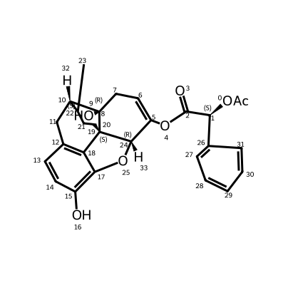 CC(=O)O[C@H](C(=O)OC1=CC[C@@]2(O)[C@H]3Cc4ccc(O)c5c4[C@@]2(CCC3C)[C@H]1O5)c1ccccc1